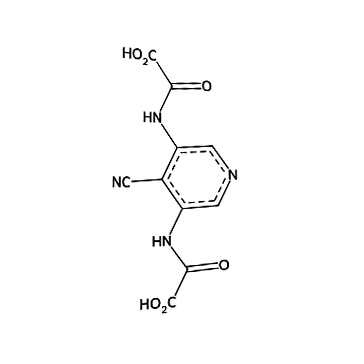 N#Cc1c(NC(=O)C(=O)O)cncc1NC(=O)C(=O)O